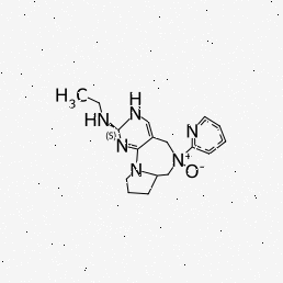 CCN[C@@H]1N=C2C(=CN1)C[N+]([O-])(c1ccccn1)CC1CCCN21